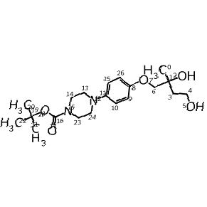 CC(O)(CCO)COc1ccc(N2CCN(C(=O)OC(C)(C)C)CC2)cc1